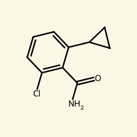 NC(=O)c1c(Cl)cccc1C1CC1